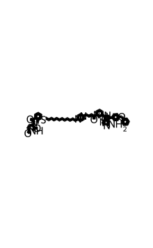 Nc1ncnc2c1c(-c1ccc(Oc3ccccc3)cc1)nn2C1CCCN(C(=O)/C=C/CN2CCN(CCCCCCCCCCCCSc3cccc4c3CN(C3CCC(=O)NC3=O)C4=O)CC2)C1